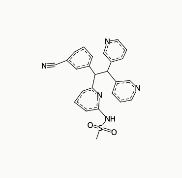 CS(=O)(=O)Nc1cccc(C(c2cccc(C#N)c2)C(c2cccnc2)c2cccnc2)n1